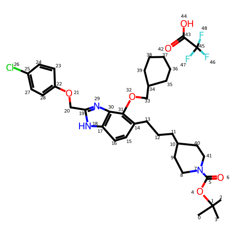 CC(C)(C)OC(=O)N1CCC(CCCc2ccc3[nH]c(COc4ccc(Cl)cc4)nc3c2OCC2CCCCC2)CC1.O=C(O)C(F)(F)F